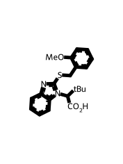 COc1ccccc1CSc1nc2ccccc2n1C(C(=O)O)C(C)(C)C